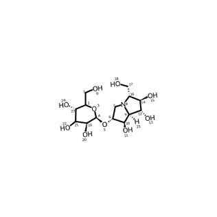 OCC1O[C@@H](O[C@@H]2CN3[C@H]([C@H]2O)[C@@H](O)[C@H](O)[C@H]3CO)[C@@H](O)C(O)[C@@H]1O